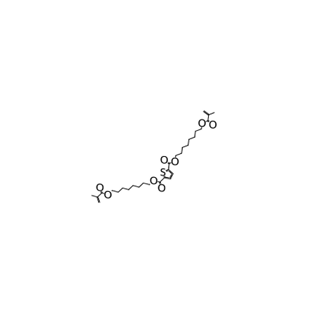 C=C(C)C(=O)OCCCCCCCCOC(=O)c1ccc(C(=O)OCCCCCCCCOC(=O)C(=C)C)s1